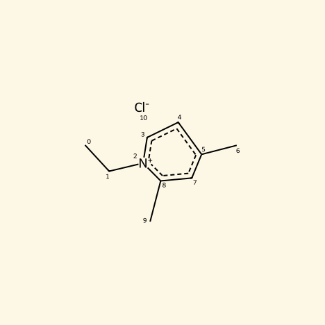 CC[n+]1ccc(C)cc1C.[Cl-]